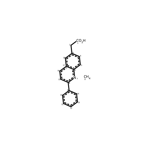 C.O=C(O)Cc1ccc2nc(-c3ccccc3)ccc2c1